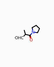 CC([C]=O)C(=O)N1CCCC1